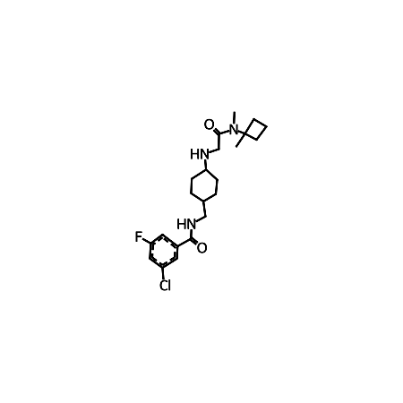 CN(C(=O)CNC1CCC(CNC(=O)c2cc(F)cc(Cl)c2)CC1)C1(C)CCC1